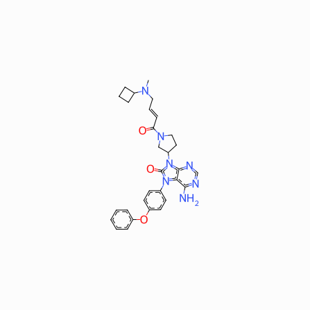 CN(C/C=C/C(=O)N1CCC(n2c(=O)n(-c3ccc(Oc4ccccc4)cc3)c3c(N)ncnc32)C1)C1CCC1